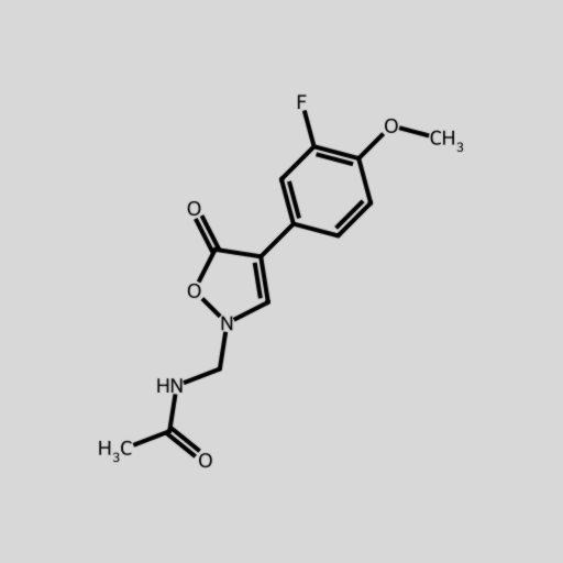 COc1ccc(-c2cn(CNC(C)=O)oc2=O)cc1F